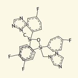 Fc1ccc([Si](Cn2cncn2)(O[Si](Cn2cncn2)(c2ccc(F)cc2)c2ccc(F)cc2)c2ccc(F)cc2)cc1